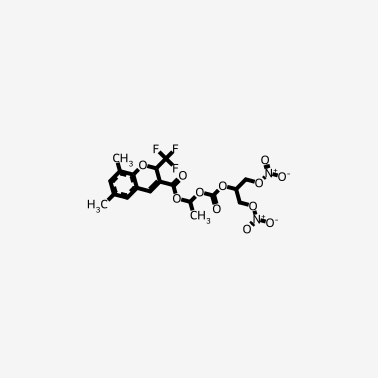 Cc1cc(C)c2c(c1)C=C(C(=O)OC(C)OC(=O)OC(CO[N+](=O)[O-])CO[N+](=O)[O-])C(C(F)(F)F)O2